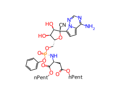 CCCCCOC(=O)C[C@H](N[P@](=O)(OC[C@H]1O[C@@](C#N)(c2ccc3c(N)ncnn23)[C@H](O)[C@@H]1O)Oc1ccccc1)C(=O)OCCCCC